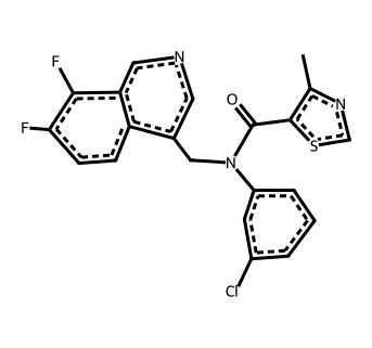 Cc1ncsc1C(=O)N(Cc1cncc2c(F)c(F)ccc12)c1cccc(Cl)c1